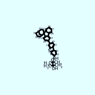 CC(C)(O)C(C)(C)OBc1ccc2c(c1)sc1cc(-c3ccc4c(c3)-c3ccccc3C43CCC4CCCC3C4)ccc12